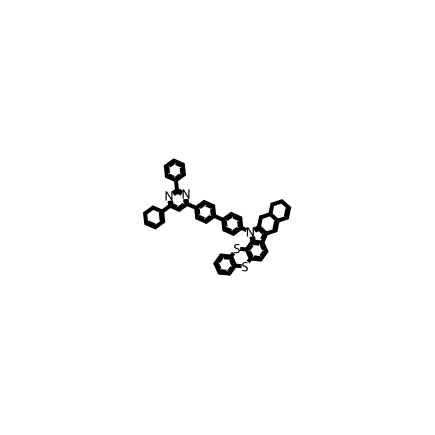 C1=CCCC(c2cc(-c3ccc(-c4ccc(-n5c6c(c7ccc8c(c75)Sc5ccccc5S8)C=C5C=CCCC5C6)cc4)cc3)nc(-c3ccccc3)n2)=C1